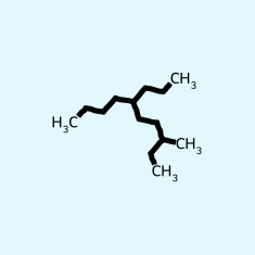 CCCCC(CCC)CCC(C)CC